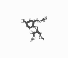 COC=C(Oc1ccc(Cl)cc1CSC#N)C(=O)OC